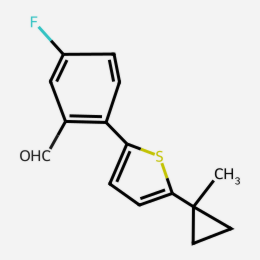 CC1(c2ccc(-c3ccc(F)cc3C=O)s2)CC1